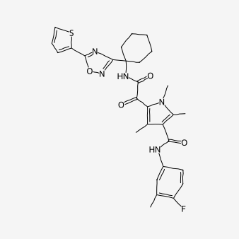 Cc1cc(NC(=O)c2c(C)c(C(=O)C(=O)NC3(c4noc(-c5cccs5)n4)CCCCC3)n(C)c2C)ccc1F